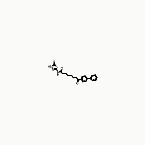 O=C(CCCCCCC(=O)c1ccc(-c2ccccc2)cc1)Nc1n[nH]c(=S)s1